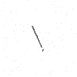 CCCCCCCCC(CCCCCC)C(=O)OCCCCCCCCCCCCCCCCCCCC(CCCCCC)(CCCCCCCC)C(=O)O